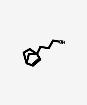 OCCCC12C=CC(CC1)C2